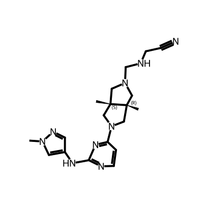 Cn1cc(Nc2nccc(N3C[C@]4(C)CN(CNCC#N)C[C@]4(C)C3)n2)cn1